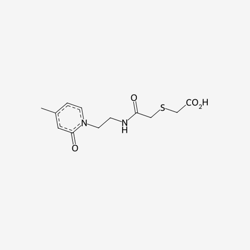 Cc1ccn(CCNC(=O)CSCC(=O)O)c(=O)c1